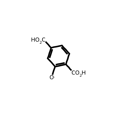 [O]c1cc(C(=O)O)ccc1C(=O)O